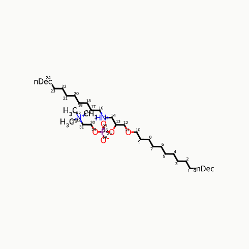 CCCCCCCCCCCCCCCCCCCCOCC(CNCCCCCCCCCCCCCCCCCC)OP(=O)([O-])OCC[N+](C)(C)C